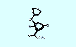 CCc1c(NC2CCOCC2)cc(Cl)cc1C(=O)OC